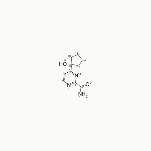 NC(=O)c1nccc(C2(O)CCCC2)n1